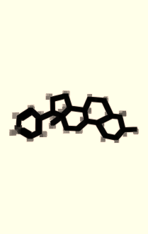 CC1CCC2C(CCC3C2CCC2(C)C(c4ccncc4)CCC32)C1